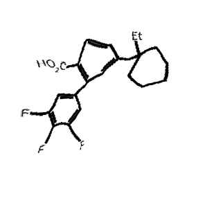 CCC1(c2ccc(C(=O)O)c(-c3cc(F)c(F)c(F)c3)c2)CCCCC1